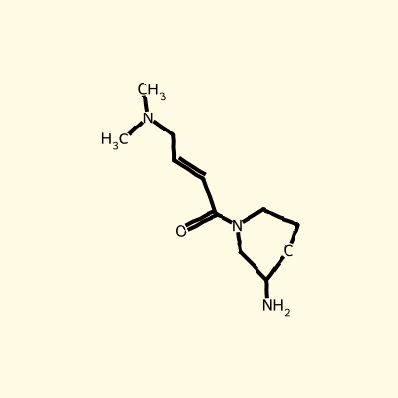 CN(C)C/C=C/C(=O)N1CCCC(N)C1